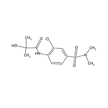 CN(C)S(=O)(=O)c1ccc(NC(=O)C(C)(C)O)c(Cl)c1